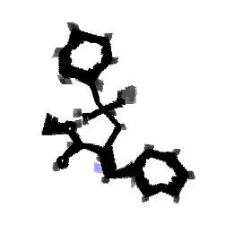 COC(=O)/C(=C/c1ccccc1)CC(F)(F)c1ccccc1